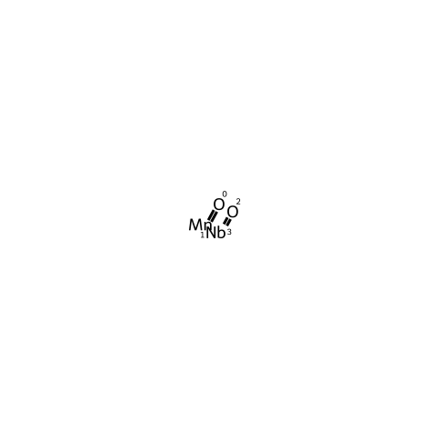 [O]=[Mn].[O]=[Nb]